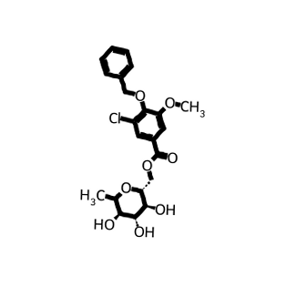 COc1cc(C(=O)OC[C@H]2OC(C)[C@H](O)[C@@H](O)[C@@H]2O)cc(Cl)c1OCc1ccccc1